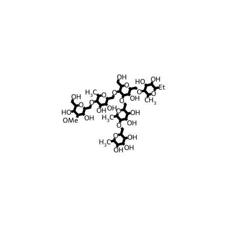 CCC1OC(C)C(OCC2OC(CO)C(OCC3OC(C)C(OCC4OC(CO)C(O)C(OC)C4O)C(O)C3O)C(OCC3OC(C)C(OCC4OC(C)C(O)C(O)C4O)C(O)C3O)C2O)C(O)C1O